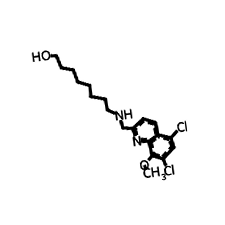 COc1c(Cl)cc(Cl)c2ccc(CNCCCCCCCCO)nc12